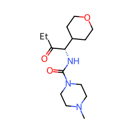 CCC(=O)[C@@H](NC(=O)N1CCN(C)CC1)C1CCOCC1